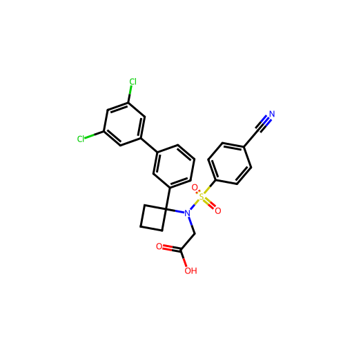 N#Cc1ccc(S(=O)(=O)N(CC(=O)O)C2(c3cccc(-c4cc(Cl)cc(Cl)c4)c3)CCC2)cc1